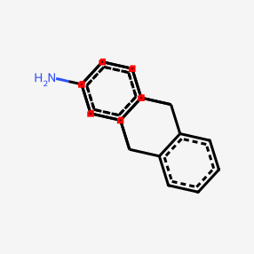 Nc1ccc2c(c1)C1c3ccccc3C2c2ccccc21